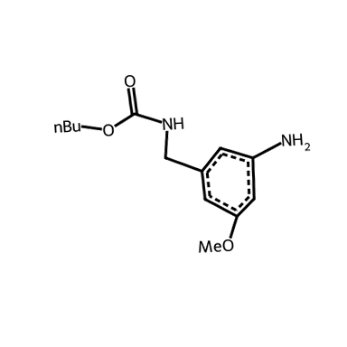 CCCCOC(=O)NCc1cc(N)cc(OC)c1